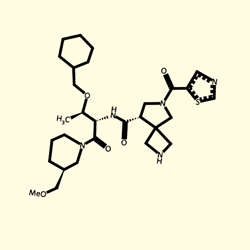 COC[C@H]1CCCN(C(=O)[C@@H](NC(=O)[C@@H]2CN(C(=O)c3cncs3)CC23CNC3)[C@@H](C)OCC2CCCCC2)C1